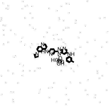 Cc1cccc(Nc2cnc3nc(-c4ccc(Nc5ccnc6ccc(N7CCC7)cc56)nc4)n(COP(=O)(O)O)c3c2)c1